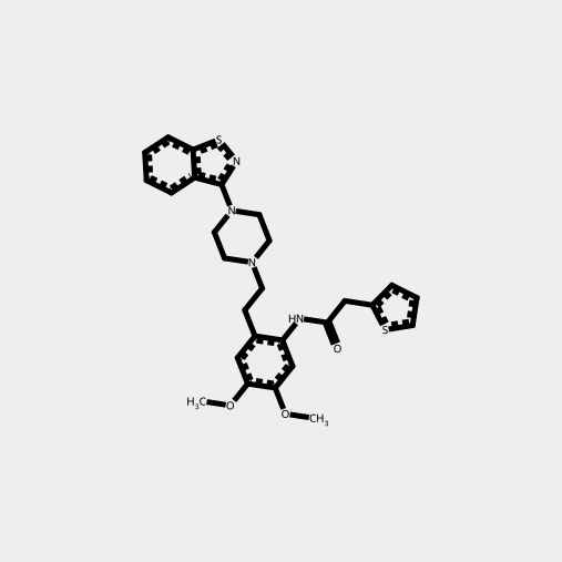 COc1cc(CCN2CCN(c3nsc4ccccc34)CC2)c(NC(=O)Cc2cccs2)cc1OC